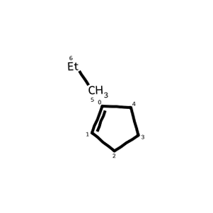 C1=CCCC1.CCC